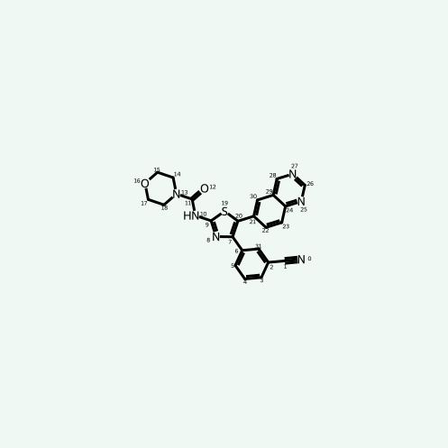 N#Cc1cccc(-c2nc(NC(=O)N3CCOCC3)sc2-c2ccc3ncncc3c2)c1